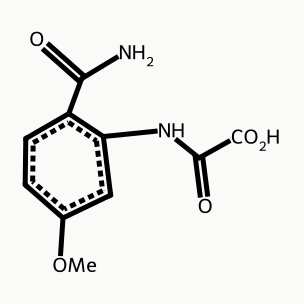 COc1ccc(C(N)=O)c(NC(=O)C(=O)O)c1